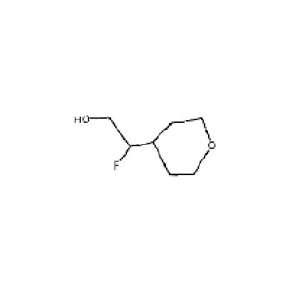 OCC(F)C1CCOCC1